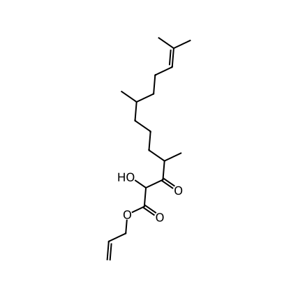 C=CCOC(=O)C(O)C(=O)C(C)CCCC(C)CCC=C(C)C